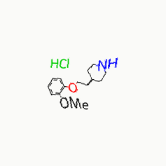 COc1ccccc1OCCC1CCNCC1.Cl